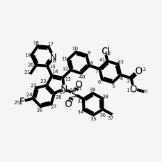 COC(=O)c1ccc(-c2cccc(-c3c(-c4ncccc4C)c4cc(F)ccc4n3S(=O)(=O)c3ccc(C)cc3)c2)c(Cl)c1